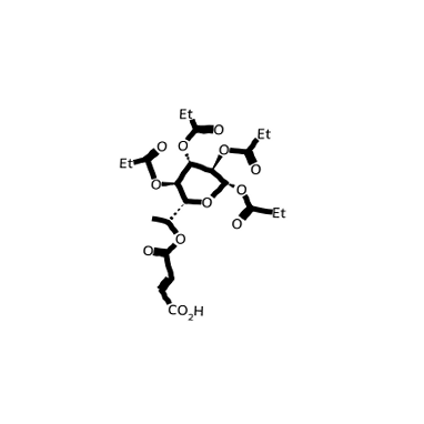 CCC(=O)O[C@@H]1O[C@H](C(C)OC(=O)/C=C/C(=O)O)[C@@H](OC(=O)CC)[C@H](OC(=O)CC)[C@H]1OC(=O)CC